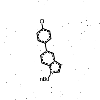 CCCCn1c[c]c2cc(-c3ccc(Cl)cc3)ccc21